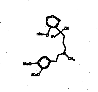 CCCCOc1ccccc1C(C#N)(CCCN(C)CCc1ccc(OC)c(OC)c1)C(C)C